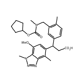 COc1cc(C(CC(=O)O)c2ccc(C)c(CN(C)C(=O)OC3CCCC3)c2)c(C)c2nnn(C)c12